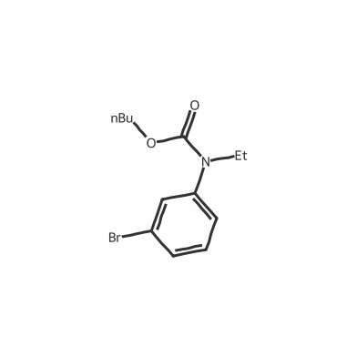 CCCCOC(=O)N(CC)c1cccc(Br)c1